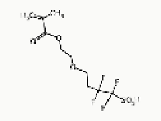 C=C(C)C(=O)OCCOCCC(F)(F)C(F)(F)S(=O)(=O)O